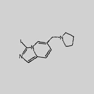 Ic1ncc2ccc(CN3CCCC3)cn12